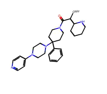 COC(C(=O)N1CCC(c2ccccc2)(N2CCN(c3ccncc3)CC2)CC1)C1CCCCN1